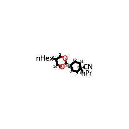 CCCCCCC1COC([C@H]2CC[C@](C#N)(CCC)CC2)OC1